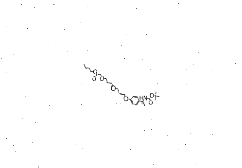 CCCCOC(=O)COCCCOCCCOc1ccc([C@H](C)NC(=O)OC(C)(C)C)cc1